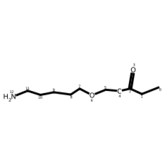 CCC(=O)CCOCCCCCN